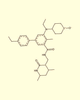 CCc1ccc(-c2cc(C(=O)NCC3C(=O)NC(C)CC3C)c(C)c(N(CC)C3CC[S+]([O-])CC3)c2)cc1